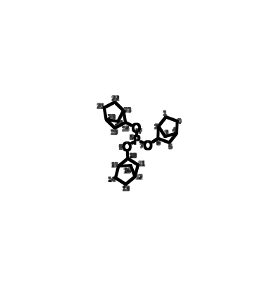 C1CC2CC1CC2OP(OC1CC2CCC1C2)OC1CC2CCC1C2